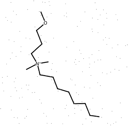 [CH2]OCCC[N+](C)(C)CCCCCCCC